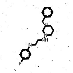 Fc1ccc(NCCNN2CCC[C@H](Cc3ccccc3)C2)cc1